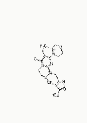 C[C@@H]1COCCN1c1nc2n(c(=O)c1F)CC[C@@H](C(F)(F)F)N2Cc1noc(C(C)(C)C)n1